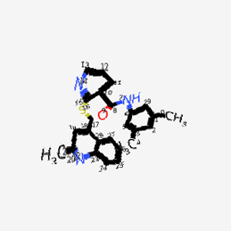 Cc1cc(C)cc(NC(=O)c2cccnc2SCc2cc(C)nc3ccccc23)c1